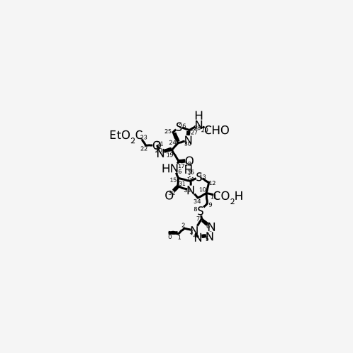 C=CCn1nnnc1SCC1(C(=O)O)CS[C@@H]2C(NC(=O)C(=NOCC(=O)OCC)c3csc(NC=O)n3)C(=O)N2C1